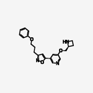 c1ccc(OCCCc2cc(-c3cncc(OC[C@@H]4CCN4)c3)on2)cc1